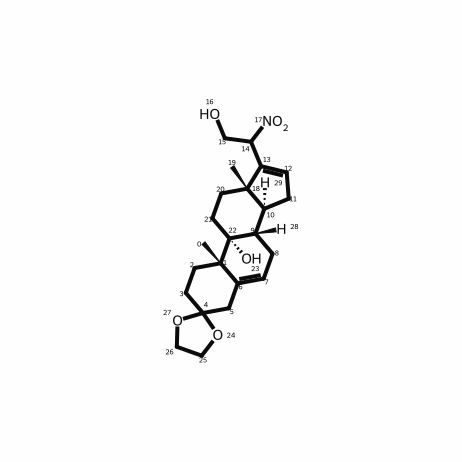 C[C@]12CCC3(CC1=CC[C@H]1[C@@H]4CC=C(C(CO)[N+](=O)[O-])[C@@]4(C)CC[C@@]12O)OCCO3